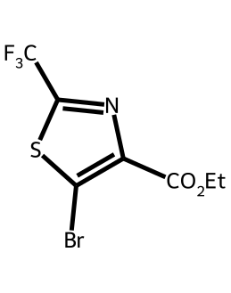 CCOC(=O)c1nc(C(F)(F)F)sc1Br